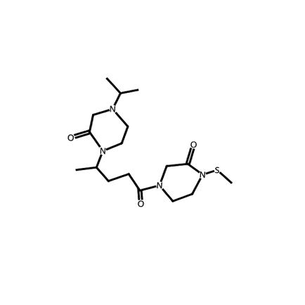 CSN1CCN(C(=O)CCC(C)N2CCN(C(C)C)CC2=O)CC1=O